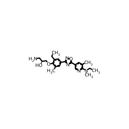 CCc1cc(-c2noc(-c3cnc(N(C)CC)c(C)c3)n2)cc(C)c1OC[C@@H](O)CN